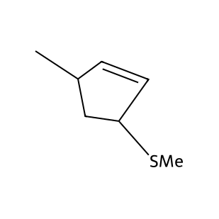 CSC1C=CC(C)C1